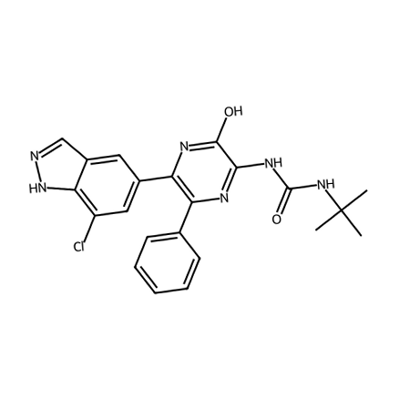 CC(C)(C)NC(=O)Nc1nc(-c2ccccc2)c(-c2cc(Cl)c3[nH]ncc3c2)nc1O